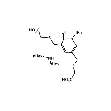 CC(C)(C)c1cc(CSCC(=O)O)cc(CSCC(=O)O)c1O.CCCCCCNCCCCCC